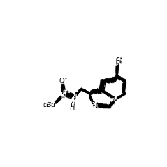 CCc1ccn2cnc(CN[S+]([O-])C(C)(C)C)c2c1